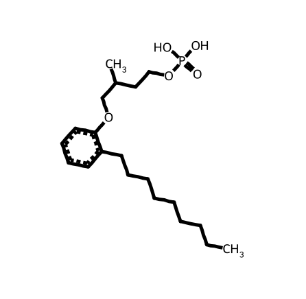 CCCCCCCCCc1ccccc1OCC(C)CCOP(=O)(O)O